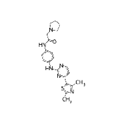 Cc1nc(C)c(-c2ccnc(Nc3ccc(NC(=O)CN4CCCC4)cc3)n2)s1